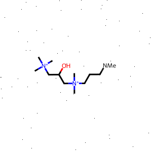 CNCCC[N+](C)(C)CC(O)C[N+](C)(C)C